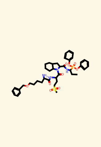 CCC(NC(=O)C1CC2CCCCC2N1C(=O)C(CCS(C)(=O)=O)NC(=O)C(N)CCCCOCc1ccccc1)P(=O)(Oc1ccccc1)Oc1ccccc1